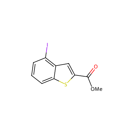 COC(=O)c1cc2c(I)cccc2s1